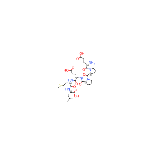 CSCC[C@H](NC(=O)[C@H](CCC(=O)O)NC(=O)[C@@H]1CCCN1C(=O)[C@@H]1CCCN1C(=O)[C@@H](N)CCC(=O)O)C(=O)N[C@@H](CC(C)C)C(=O)O